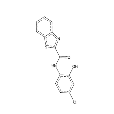 O=C(Nc1ccc(Cl)cc1O)c1nc2ccccc2s1